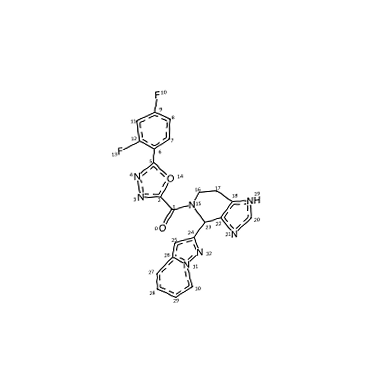 O=C(c1nnc(-c2ccc(F)cc2F)o1)N1CCc2[nH]cnc2C1c1cc2ccccn2n1